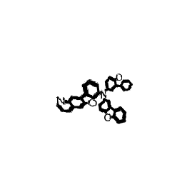 c1cnc2cc3c(cc2c1)oc1c(N(c2ccc4oc5ccccc5c4c2)c2ccc4oc5ccccc5c4c2)cccc13